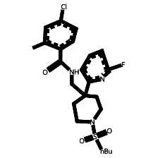 CCCCS(=O)(=O)N1CCC(CNC(=O)c2ccc(Cl)cc2C)(c2cccc(F)n2)CC1